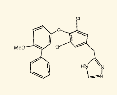 COc1ccc(Oc2c(Cl)cc(Cc3nnc[nH]3)cc2Cl)cc1-c1ccccc1